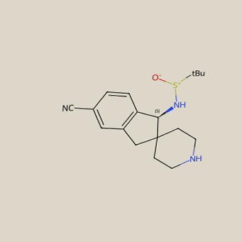 CC(C)(C)[S+]([O-])N[C@@H]1c2ccc(C#N)cc2CC12CCNCC2